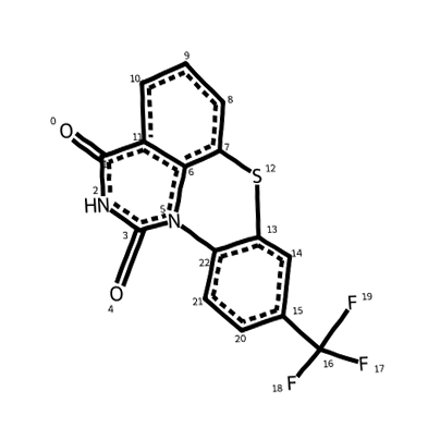 O=c1[nH]c(=O)n2c3c(cccc13)Sc1cc(C(F)(F)F)ccc1-2